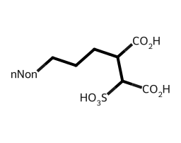 CCCCCCCCCCCCC(C(=O)O)C(C(=O)O)S(=O)(=O)O